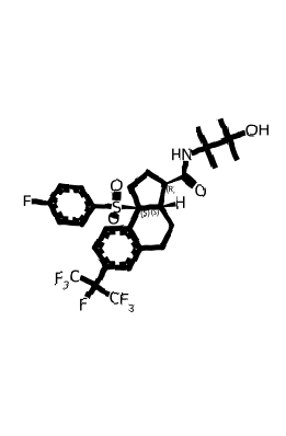 CC(C)(O)C(C)(C)NC(=O)[C@@H]1CC[C@@]2(S(=O)(=O)c3ccc(F)cc3)c3ccc(C(F)(C(F)(F)F)C(F)(F)F)cc3CC[C@@H]12